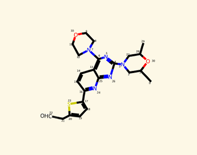 CC1CN(c2nc(N3CCOCC3)c3ccc(-c4ccc(CC=O)s4)nc3n2)CC(C)O1